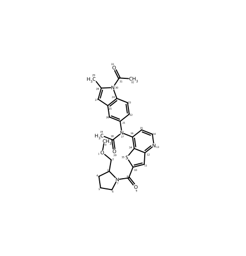 COCC1CCCN1C(=O)c1cc2nccc(N(C(C)=O)c3ccc4c(c3)cc(C)n4C(C)=O)c2s1